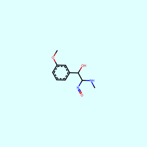 CNC(N=O)C(O)c1cccc(OC)c1